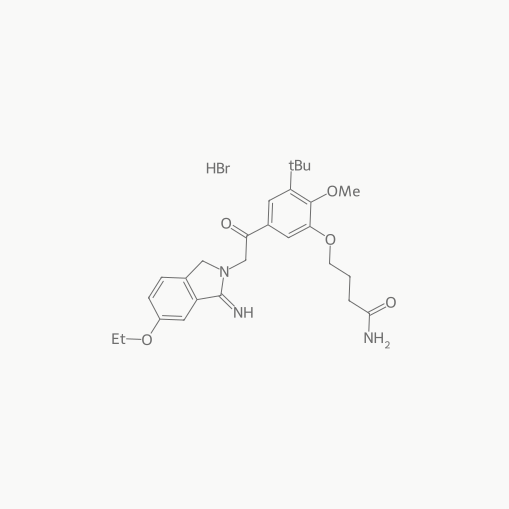 Br.CCOc1ccc2c(c1)C(=N)N(CC(=O)c1cc(OCCCC(N)=O)c(OC)c(C(C)(C)C)c1)C2